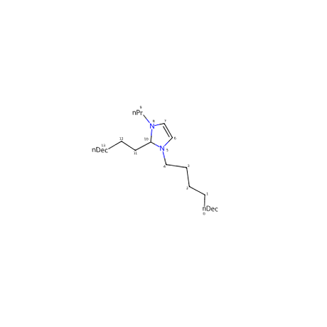 CCCCCCCCCCCCCCN1C=CN(CCC)C1CCCCCCCCCCCC